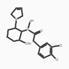 CCCN(C(=O)Cc1ccc(Cl)c(Cl)c1)C1C(OC(C)=O)CCCC1N1CC=CC1